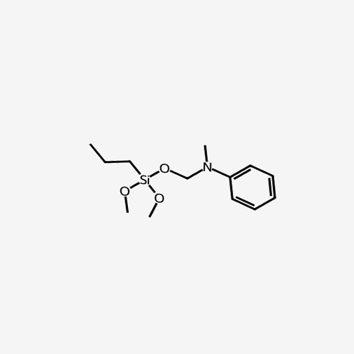 CCC[Si](OC)(OC)OCN(C)c1ccccc1